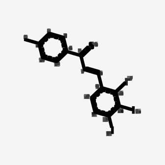 Cc1ccc(C(=S)C=Cc2ccc(I)c(I)c2I)cc1